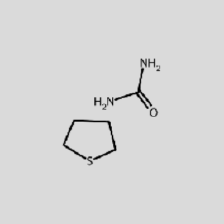 C1CCSC1.NC(N)=O